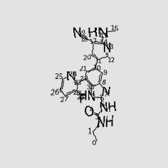 CCNC(=O)Nc1nc2cc(-c3cnc(NC)c(C#N)c3)cc(-c3ncccc3F)c2[nH]1